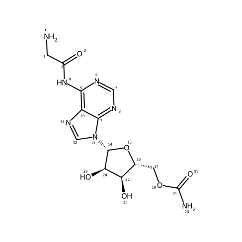 NCC(=O)Nc1ncnc2c1ncn2[C@@H]1O[C@H](COC(N)=O)[C@@H](O)[C@H]1O